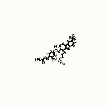 CCCCC(CCOc1ccc(OCC(=O)O)c(C)c1)c1sc2ccc(C(F)(F)F)cc2c1CC